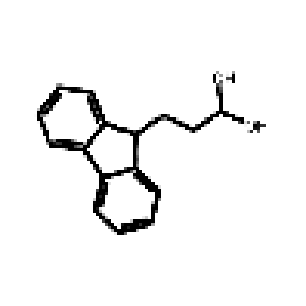 OC(O)CCC1c2ccccc2-c2ccccc21